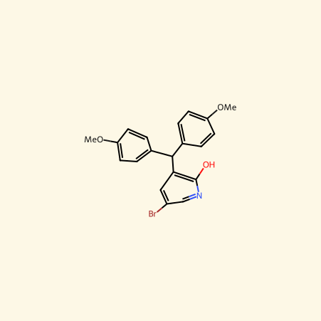 COc1ccc(C(c2ccc(OC)cc2)c2cc(Br)cnc2O)cc1